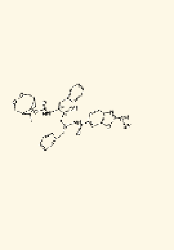 CC(C)Nc1nc2ccc(C(=O)NN(Cc3ccccc3)C[C@H](O)[C@H](Cc3ccccc3)NC(=O)OC3C4COOCC3C(C)C4)cc2o1